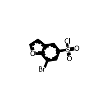 O=S(=O)(Cl)c1cc(Br)c2occc2c1